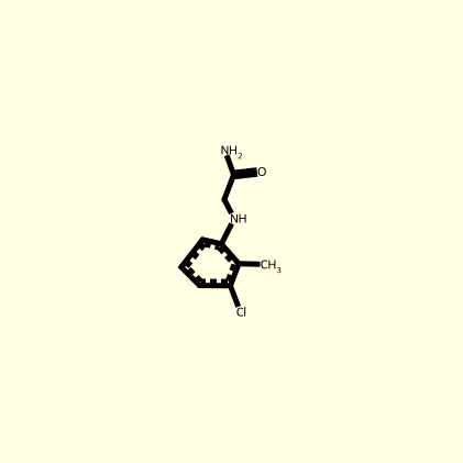 Cc1c(Cl)cccc1NCC(N)=O